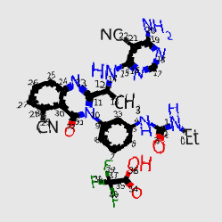 CCNC(=O)Nc1cccc(-n2c(C(C)Nc3ncnc(N)c3C#N)nc3cccc(C#N)c3c2=O)c1.O=C(O)C(F)(F)F